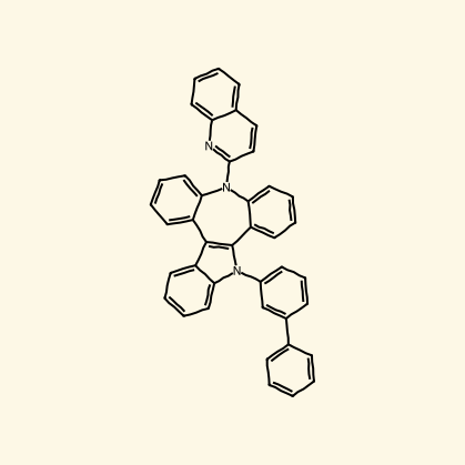 c1ccc(-c2cccc(-n3c4c(c5ccccc53)-c3ccccc3N(c3ccc5ccccc5n3)c3ccccc3-4)c2)cc1